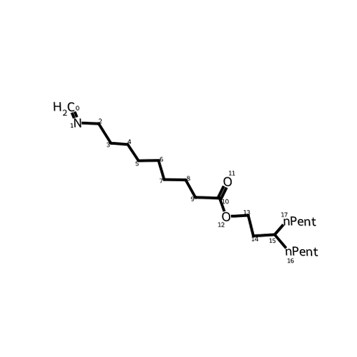 C=NCCCCCCCCC(=O)OCCC(CCCCC)CCCCC